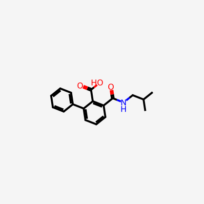 CC(C)CNC(=O)c1cccc(-c2ccccc2)c1C(=O)O